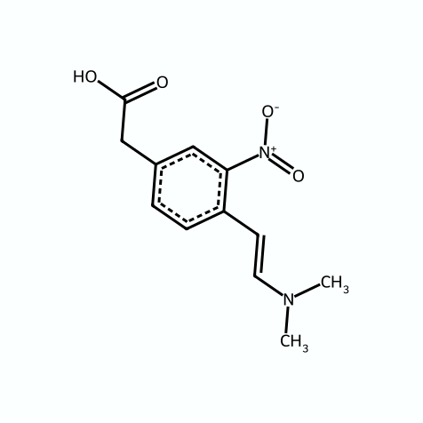 CN(C)C=Cc1ccc(CC(=O)O)cc1[N+](=O)[O-]